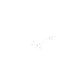 C[C@@H]1CN(C(=O)C(=N)C2=C(NCC(=O)N3CCN(c4ccc(C(F)(F)F)cc4)CC3)CCC2)C[C@H](C)O1